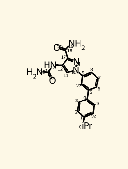 CC(C)c1ccc(-c2cccc(-n3cc(NC(N)=O)c(C(N)=O)n3)c2)cc1